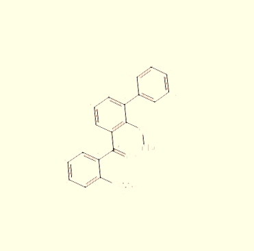 CCCCOc1c(C(=O)c2ccccc2OC)cccc1-c1ccccc1